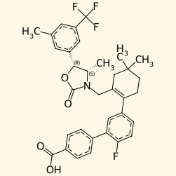 Cc1cc([C@H]2OC(=O)N(CC3=C(c4ccc(F)c(-c5ccc(C(=O)O)cc5)c4)CCC(C)(C)C3)[C@H]2C)cc(C(F)(F)F)c1